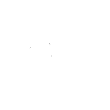 N#CN/C(=N\CCc1ccccc1)c1ccoc1